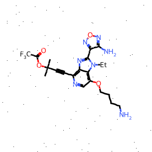 CCn1c(-c2nonc2N)nc2c(C#CC(C)(C)OC(=O)C(F)(F)F)ncc(OCCCCN)c21